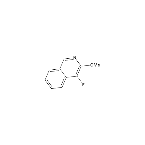 COc1ncc2ccccc2c1F